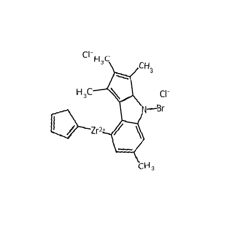 CC1=C(C)C2C(=C1C)c1[c]([Zr+2][C]3=CC=CC3)cc(C)cc1N2Br.[Cl-].[Cl-]